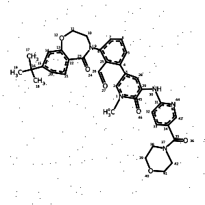 Cn1cc(-c2cccc(N3CCOc4cc(C(C)(C)C)ccc4C3=O)c2C=O)cc(Nc2ccc(C(=O)N3CCOCC3)cn2)c1=O